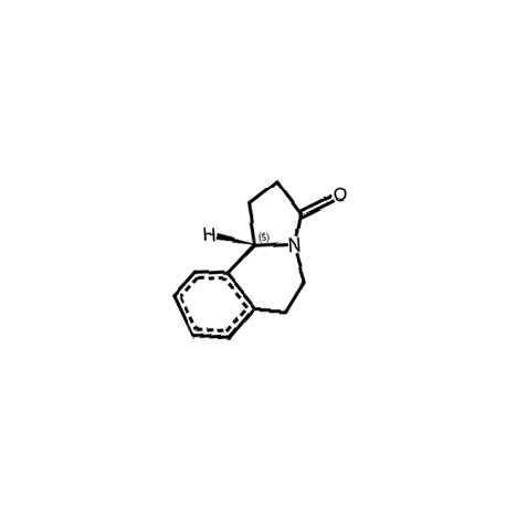 O=C1CC[C@H]2c3ccccc3CCN12